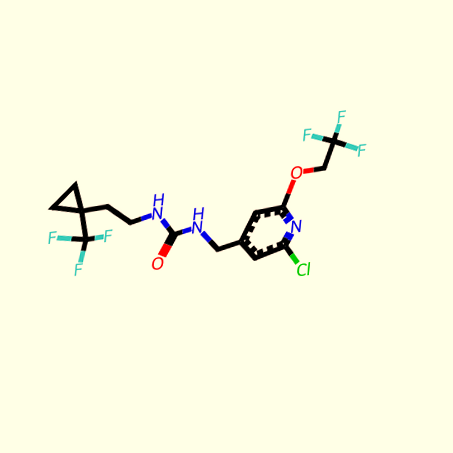 O=C(NCCC1(C(F)(F)F)CC1)NCc1cc(Cl)nc(OCC(F)(F)F)c1